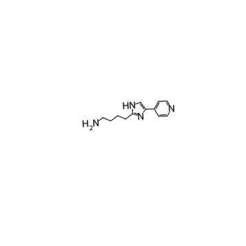 NCCCCc1nc(-c2ccncc2)c[nH]1